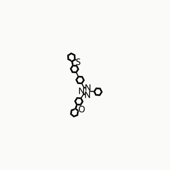 c1ccc(-c2nc(-c3ccc(-c4ccc5c(c4)sc4ccccc45)cc3)nc(-c3ccc4c(c3)oc3ccccc34)n2)cc1